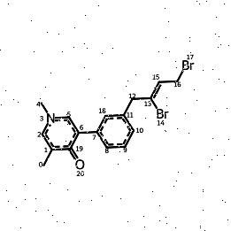 Cc1cn(C)cc(-c2cccc(CC(Br)=CCBr)c2)c1=O